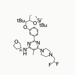 [CH2]C(O[Si](C)(C)C(C)(C)C)C(Oc1cccc(-c2nc(N[C@@H]3CCOC3)c(C)c(N3CCN(CC(F)F)CC3)n2)c1)C(C)(C)C